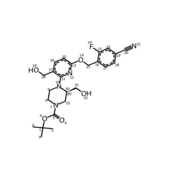 CC(C)(C)OC(=O)N1CCN(c2nc(OCc3ccc(C#N)cc3F)ccc2CO)[C@@H](CO)C1